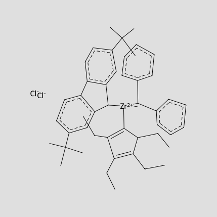 CCC1=C(CC)C(CC)[C]([Zr+2](=[C](c2ccccc2)c2ccccc2)[CH]2c3cc(C(C)(C)C)ccc3-c3ccc(C(C)(C)C)cc32)=C1CC.[Cl-].[Cl-]